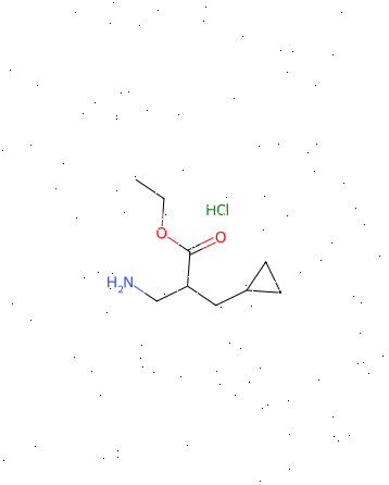 CCOC(=O)C(CN)CC1CC1.Cl